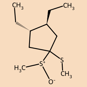 CC[C@H]1CC(SC)([S+](C)[O-])C[C@@H]1CC